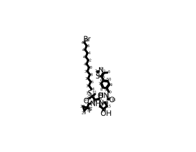 Cc1ncsc1-c1ccc(CNC(=O)[C@@H]2C[C@@H](O)CN2C(=O)[C@@H](NC(=O)C2(F)CC2)C(C)(C)SCCCCCCCCCCCCCCBr)cc1